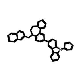 c1ccc(-n2c3ccccc3c3cc(-c4ccc5c(c4)-c4ccccc4CCC5Cc4ccc5ccccc5c4)ccc32)cc1